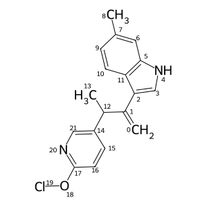 C=C(c1c[nH]c2cc(C)ccc12)C(C)c1ccc(OCl)nc1